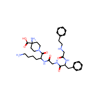 NCCCCC(NC(=O)CNC(=O)C(Cc1ccccc1)NC(=O)CNCCc1ccccc1)C(=O)N1CCC(N)(C(=O)O)CC1